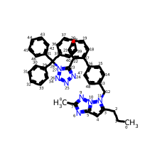 CCCc1cc2nc(C)nn2n1Cc1ccc(-c2ccccc2-c2nnnn2C(c2ccccc2)(c2ccccc2)c2ccccc2)cc1